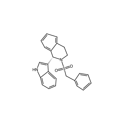 O=S(=O)(Cc1ccccc1)N1CCc2ccccc2[C@H]1c1c[nH]c2ccccc12